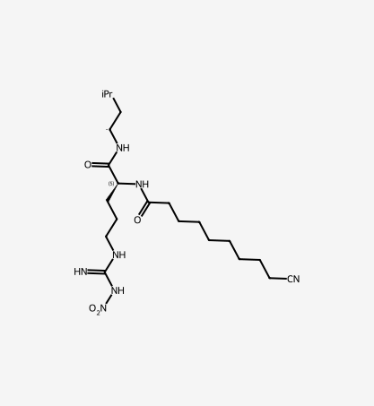 CC(C)C[CH]NC(=O)[C@H](CCCNC(=N)N[N+](=O)[O-])NC(=O)CCCCCCCCC#N